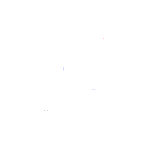 O=C1Nc2ccc(OC(F)(F)F)cc2/C1=N/c1cccc(C(=O)O)c1